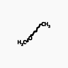 C=CCO/C=C/C=C/CCCC